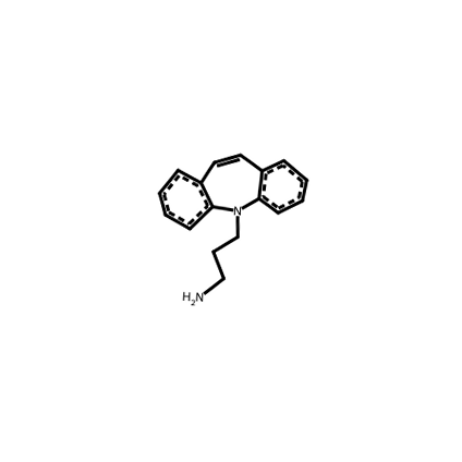 NCCCN1c2ccccc2C=Cc2ccccc21